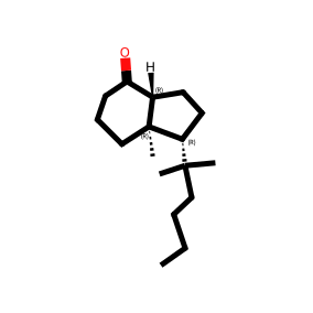 CCCCC(C)(C)[C@H]1CC[C@H]2C(=O)CCC[C@]12C